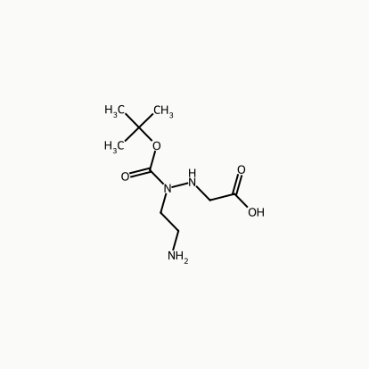 CC(C)(C)OC(=O)N(CCN)NCC(=O)O